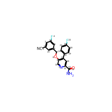 N#Cc1cc(F)cc(COc2cnc(C(N)=O)cc2-c2ccc(F)cc2)c1